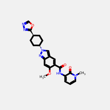 COc1cc2nn([C@H]3CC[C@H](c4nnco4)CC3)cc2cc1C(=O)Nc1cccn(C)c1=O